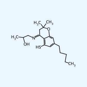 CCCCCc1cc(S)c2c(c1)OC(C)(C)CC2=NCC(C)O